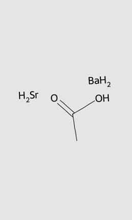 CC(=O)O.[BaH2].[SrH2]